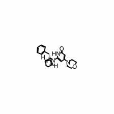 O=c1cc(N2CCOCC2)cc(N2[C@@H]3CC[C@@H](C3)[C@@H]2Cc2ccccc2)[nH]1